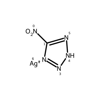 O=[N+]([O-])c1nn[nH]n1.[Ag+]